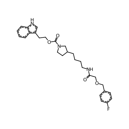 O=C(COCc1ccc(F)cc1)NCCCCC1CCN(C(=O)OCCc2c[nH]c3ccccc23)C1